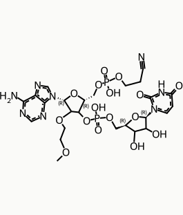 COCCOC1C(OP(=O)(O)OC[C@H]2O[C@@H](n3ccc(=O)[nH]c3=O)C(O)C2O)[C@@H](COP(=O)(O)OCCC#N)O[C@H]1n1cnc2c(N)ncnc21